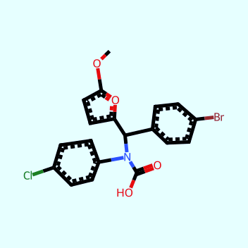 COc1ccc(C(c2ccc(Br)cc2)N(C(=O)O)c2ccc(Cl)cc2)o1